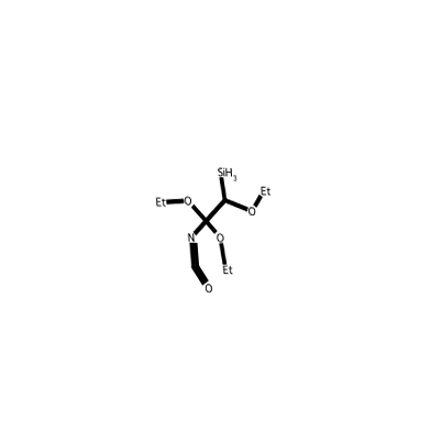 CCOC([SiH3])C(N=C=O)(OCC)OCC